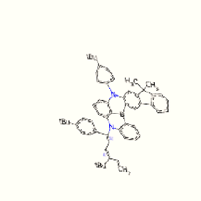 C=C/C(=C\C=C(/c1ccc(C(C)(C)C)cc1)N1c2ccccc2B2c3cc4c(cc3N(c3ccc(C(C)(C)C)cc3)c3cccc1c32)C(C)(C)c1ccccc1-4)C(C)(C)C